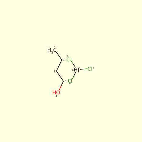 CCCCO.[Cl][Hf]([Cl])[Cl]